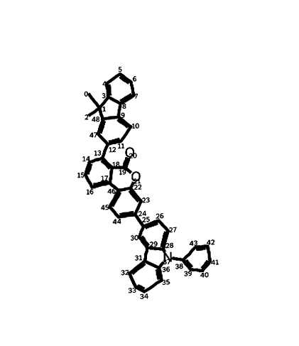 CC1(C)c2ccccc2-c2ccc(-c3cccc4c3c(=O)oc3cc(-c5ccc6c(c5)c5ccccc5n6-c5ccccc5)ccc34)cc21